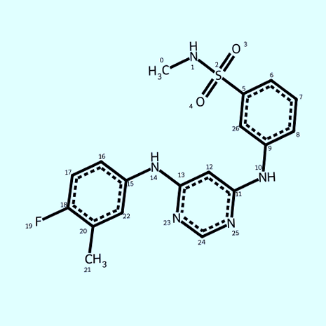 CNS(=O)(=O)c1cccc(Nc2cc(Nc3ccc(F)c(C)c3)ncn2)c1